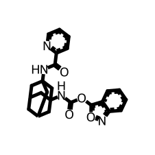 O=C(NC12CC3CC(C1)CC(NC(=O)c1ccccn1)(C3)C2)Oc1onc2ccccc12